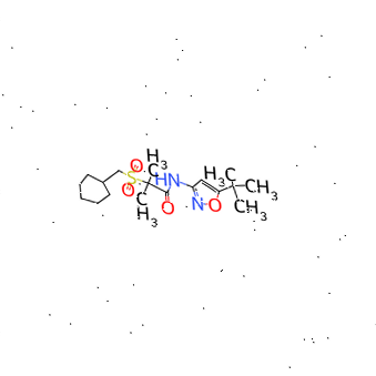 CC(C)(C)c1cc(NC(=O)C(C)(C)S(=O)(=O)CC2CCCCC2)no1